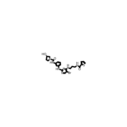 O=C(NCCCNc1nc(Nc2cccc(NC(=O)N3CC[C@@H](O)C3)c2)ncc1Br)c1cccs1